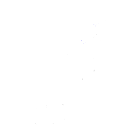 CON(C)C(=O)Nc1ccc(SCCc2ccc(C)cc2)cc1